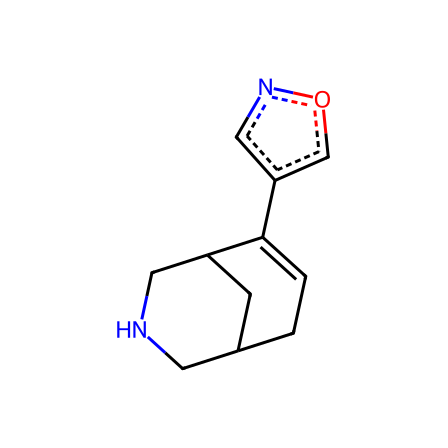 C1=C(c2cnoc2)C2CNCC(C1)C2